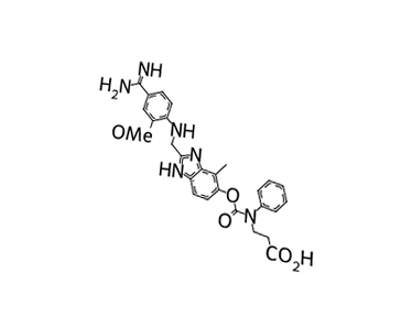 COc1cc(C(=N)N)ccc1NCc1nc2c(C)c(OC(=O)N(CCC(=O)O)c3ccccc3)ccc2[nH]1